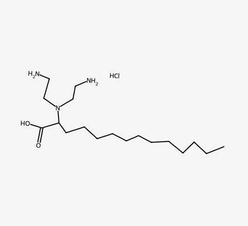 CCCCCCCCCCCCC(C(=O)O)N(CCN)CCN.Cl